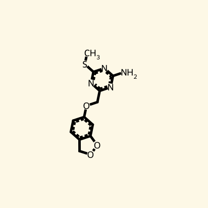 CSc1nc(N)nc(COc2ccc3c(c2)OOC3)n1